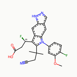 COc1cc(-n2c(C(C)(C)CC#N)c([C@H](F)CC(=O)O)c3cc4[nH]ncc4cc32)ccc1F